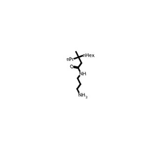 CCCCCCC(C)(CCC)CC(=O)NCCCN